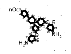 CCCCCCCCc1ccc(C2CCC(c3ccc(Oc4ccc(N)cc4F)cc3)(c3ccc(Oc4ccc(N)cc4F)cc3)CC2)cc1